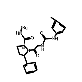 Cc1cccc(NC(=O)NCC(=O)N2C(c3ccccc3)CC[C@H]2C(=O)NC(C)(C)C)c1